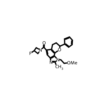 COCCn1c(C)nc2cc(C(=O)N3CC(F)C3)c3c(c21)OC(c1ccccc1)CC3